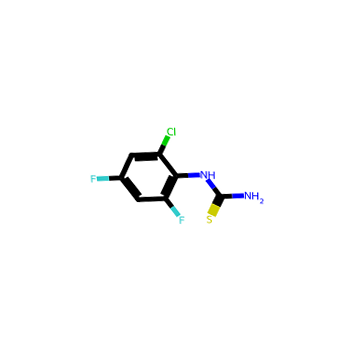 NC(=S)Nc1c(F)cc(F)cc1Cl